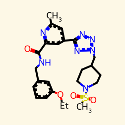 CCOc1cccc(CNC(=O)c2cc(-c3nnn(CC4CCN(S(C)(=O)=O)CC4)n3)cc(C)n2)c1